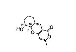 Cc1cc2c(c(=O)o1)C=C1CCC[C@@H](O)[C@]1(C)O2